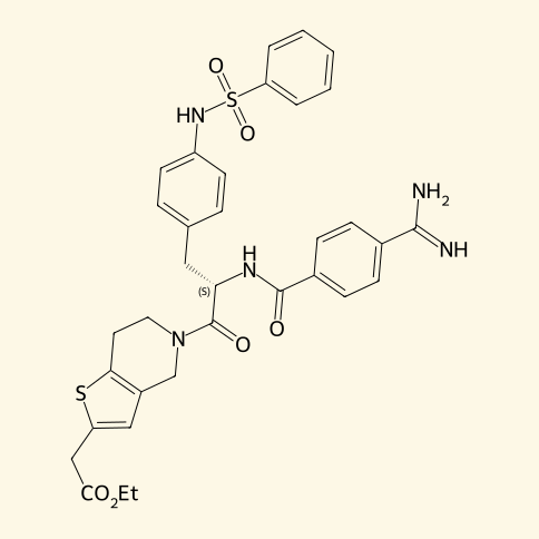 CCOC(=O)Cc1cc2c(s1)CCN(C(=O)[C@H](Cc1ccc(NS(=O)(=O)c3ccccc3)cc1)NC(=O)c1ccc(C(=N)N)cc1)C2